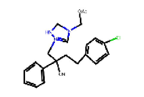 CC(=O)OCN1C=[N+](CC(C#N)(CCc2ccc(Cl)cc2)c2ccccc2)NC1